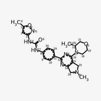 Cc1cc(NC(=O)Nc2ccc(-c3nc4c(c(N5CCOC[C@@H]5C)n3)CN(C)C4)cc2)no1